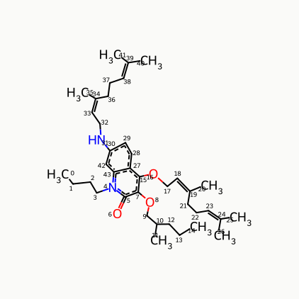 CCCCn1c(=O)c(OCC(C)CCC)c(OCC=C(C)CCC=C(C)C)c2ccc(NCC=C(C)CCC=C(C)C)cc21